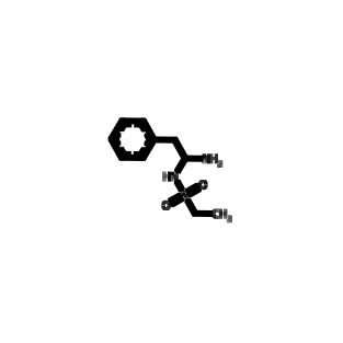 CCS(=O)(=O)NC(N)Cc1ccccc1